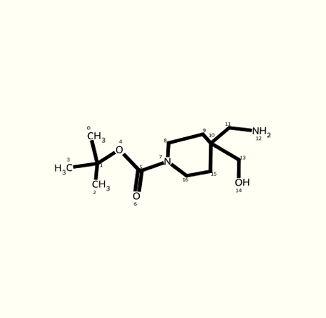 CC(C)(C)OC(=O)N1CCC(CN)(CO)CC1